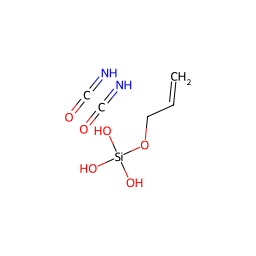 C=CCO[Si](O)(O)O.N=C=O.N=C=O